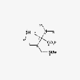 CS.CSCC(C)C(C)(C(=O)O)N(C)C